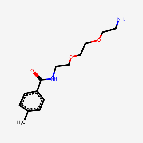 Cc1ccc(C(=O)NCCOCCOCCN)cc1